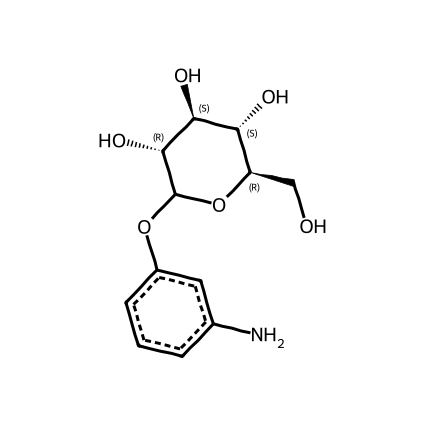 Nc1cccc(OC2O[C@H](CO)[C@@H](O)[C@H](O)[C@H]2O)c1